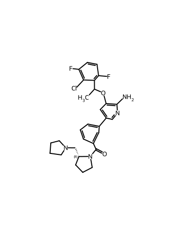 CC(Oc1cc(-c2cccc(C(=O)N3CCC[C@@H]3CN3CCCC3)c2)cnc1N)c1c(F)ccc(F)c1Cl